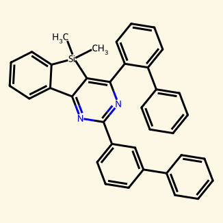 C[Si]1(C)c2ccccc2-c2nc(-c3cccc(-c4ccccc4)c3)nc(-c3ccccc3-c3ccccc3)c21